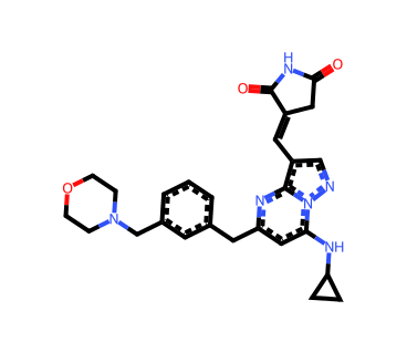 O=C1C/C(=C\c2cnn3c(NC4CC4)cc(Cc4cccc(CN5CCOCC5)c4)nc23)C(=O)N1